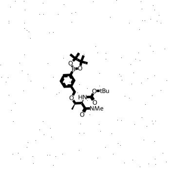 CNC(=O)[C@@H](NC(=O)OC(C)(C)C)[C@@H](C)OCc1cccc(B2OC(C)(C)C(C)(C)O2)c1